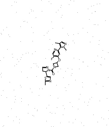 Cc1ncc(C2CC=NN2C(=O)N2CC(Oc3cc(-c4c(C)cnn4C)ncc3F)C2)s1